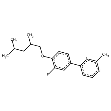 Cc1nccc(-c2ccc(OCC(C)CC(C)C)c(F)c2)n1